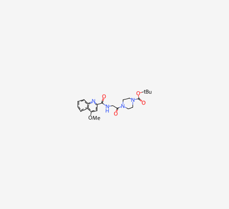 COc1cc(C(=O)NCC(=O)N2CCN(C(=O)OC(C)(C)C)CC2)nc2ccccc12